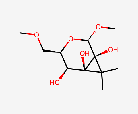 COC[C@H]1O[C@H](OC)[C@]2(O)C(C)(C)[C@]2(O)[C@H]1O